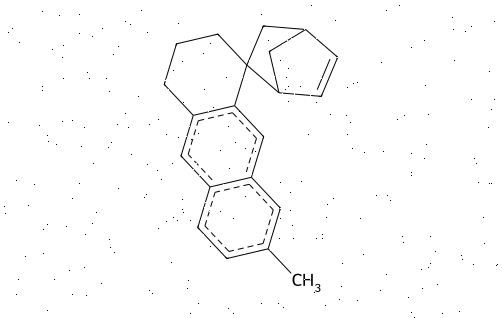 Cc1ccc2cc3c(cc2c1)C1(CCC3)CC2C=CC1C2